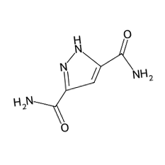 NC(=O)c1cc(C(N)=O)[nH]n1